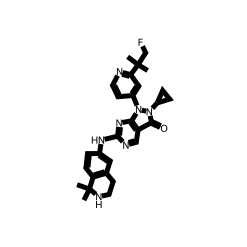 CC(C)(CF)c1cc(-n2c3nc(Nc4ccc5c(c4)CCNC5(C)C)ncc3c(=O)n2C2CC2)ccn1